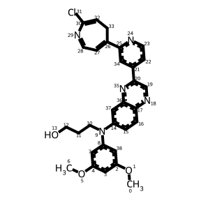 COc1cc(OC)cc(N(CCCO)c2ccc3ncc(-c4ccnc(C5=CC=NC(Cl)=CC5)c4)nc3c2)c1